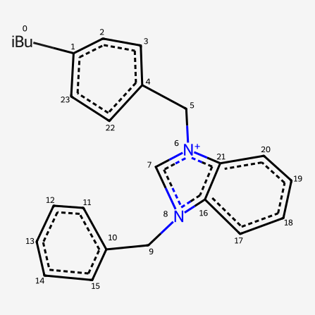 CCC(C)c1ccc(C[n+]2cn(Cc3ccccc3)c3ccccc32)cc1